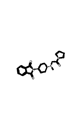 CN(CC(=O)N1CCCC1)[C@H]1CC[C@H](N2C(=O)c3ccccc3C2=O)CC1